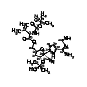 CC(C)[C@H](NC(=O)OC(C)(C)C)C(=O)OC[C@@H]1C[C@@H](OC(C)(C)O)[C@](C#N)(c2ccc(/C(N)=N\C=N)[nH]2)O1